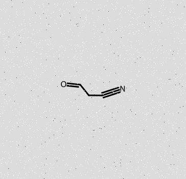 N#CCC=O